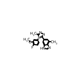 COc1cc(-n2c(C)nnc2-c2cc(C)c3nc[nH]c3c2)ccc1F